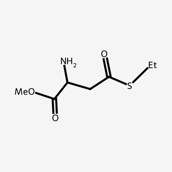 CCSC(=O)CC(N)C(=O)OC